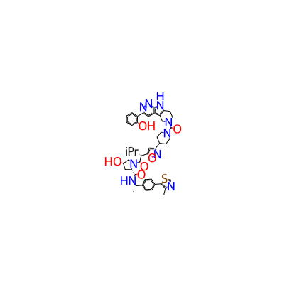 Cc1ncsc1-c1ccc([C@H](C)NC(=O)[C@@H]2C[C@@H](O)CN2C(=O)[C@@H](c2cc(C3CCN(C(=O)N4CCc5[nH]c6nnc(-c7ccccc7O)cc6c5C4)CC3)no2)C(C)C)cc1